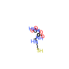 CC(CNCCCCCS)CNc1ccc(C(=O)N(C)C2CCC(=O)NC2=O)c(C=O)c1